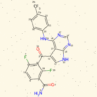 NC(=O)c1ccc(F)c(C(=O)c2c[nH]c3ncnc(Nc4ccc(C(F)(F)F)cc4)c23)c1F